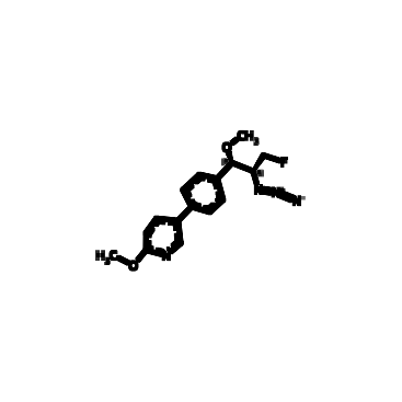 COc1ccc(-c2ccc([C@@H](OC)[C@@H](CF)N=[N+]=[N-])cc2)cn1